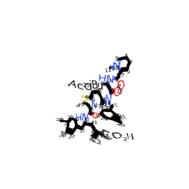 CCC(C)C(NC(=O)C1CCCCN1C)C(=O)N(Cc1ccccc1)C(CC(OC(C)=O)c1nc(C(=O)NC(Cc2ccc(C)cc2)CC(C)C(=O)O)cs1)C(C)C